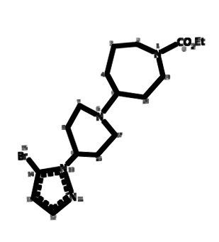 CCOC(=O)N1CCCC(N2CCC(n3nccc3Br)CC2)CC1